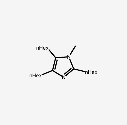 CCCCCCc1nc(CCCCCC)n(C)c1CCCCCC